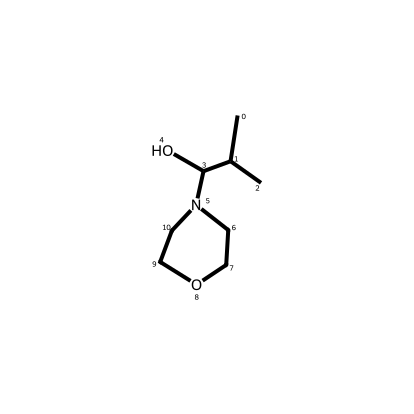 CC(C)C(O)N1CCOCC1